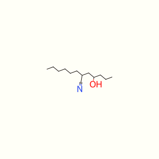 CCCCCCC(C#N)CC(O)CCC